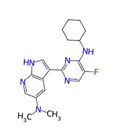 CN(C)c1cnc2[nH]cc(-c3ncc(F)c(NC4CCCCC4)n3)c2c1